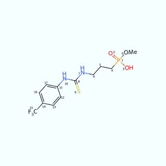 COP(=O)(O)CCCNC(=S)Nc1ccc(C(F)(F)F)cc1